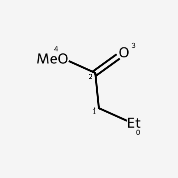 CC[CH]C(=O)OC